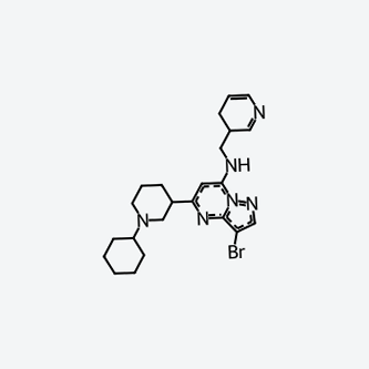 Brc1cnn2c(NCC3C=NC=CC3)cc(C3CCCN(C4CCCCC4)C3)nc12